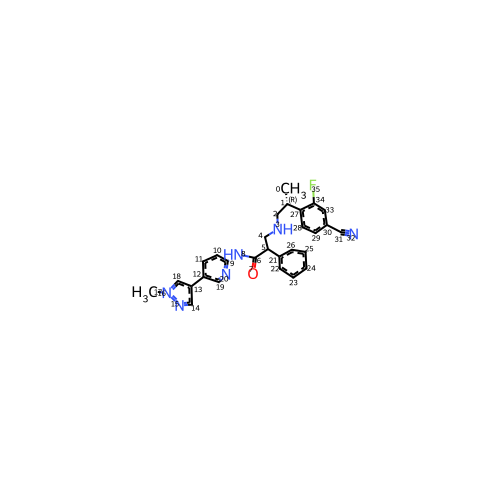 C[C@@H](CNCC(C(=O)Nc1ccc(-c2cnn(C)c2)cn1)c1ccccc1)c1ccc(C#N)cc1F